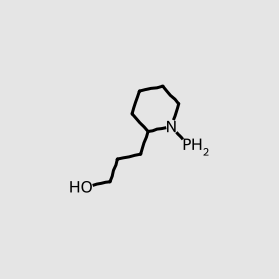 OCCCC1CCCCN1P